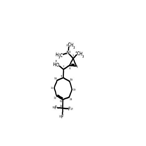 CN(C)C1(C)C=C1C(O)C1CCC=C(C(F)(F)F)CCC1